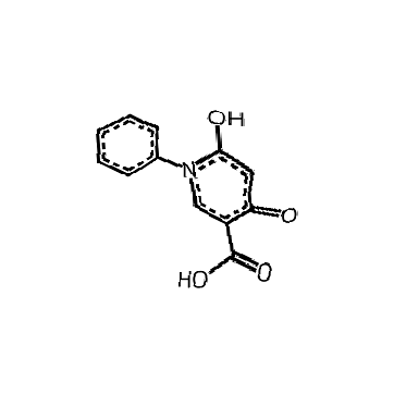 O=C(O)c1cn(-c2ccccc2)c(O)cc1=O